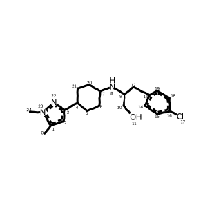 Cc1cc(C2CCC(N[C@H](CO)Cc3ccc(Cl)cc3)CC2)nn1C